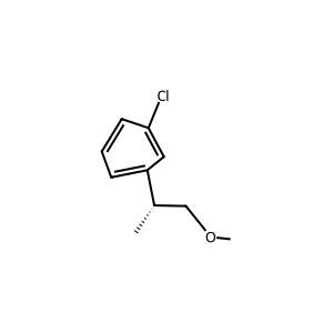 COC[C@H](C)c1cccc(Cl)c1